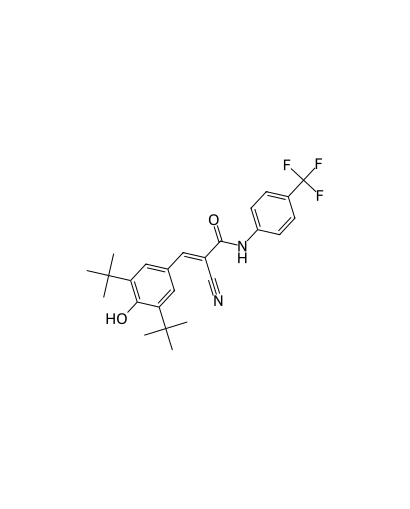 CC(C)(C)c1cc(/C=C(\C#N)C(=O)Nc2ccc(C(F)(F)F)cc2)cc(C(C)(C)C)c1O